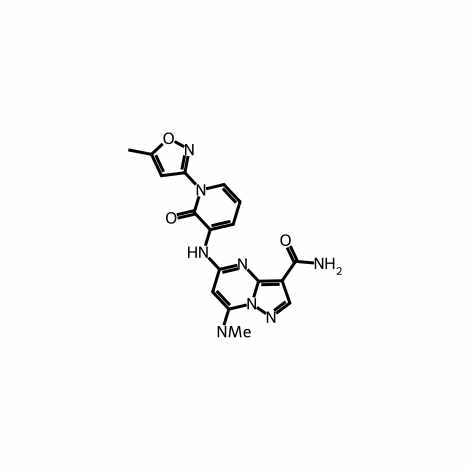 CNc1cc(Nc2cccn(-c3cc(C)on3)c2=O)nc2c(C(N)=O)cnn12